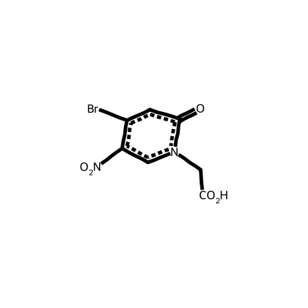 O=C(O)Cn1cc([N+](=O)[O-])c(Br)cc1=O